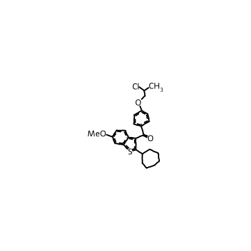 COc1ccc2c(C(=O)c3ccc(OCC(C)Cl)cc3)c(C3CCCCCC3)sc2c1